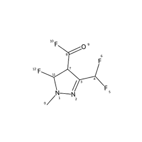 CN1N=C(C(F)F)C(C(=O)F)C1F